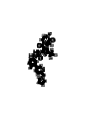 Cc1ccc(NC(=O)Nc2sc(C(C)(C)C)cc2C(=O)N2CCN(C)C(=O)C2(C)C)cc1-c1ccc(CN2CCCC2)nc1